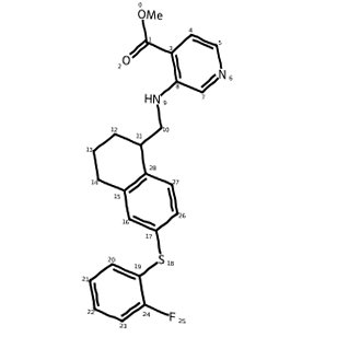 COC(=O)c1ccncc1NCC1CCCc2cc(Sc3ccccc3F)ccc21